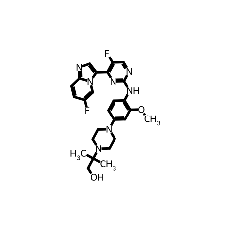 COc1cc(N2CCN(C(C)(C)CO)CC2)ccc1Nc1ncc(F)c(-c2cnc3ccc(F)cn23)n1